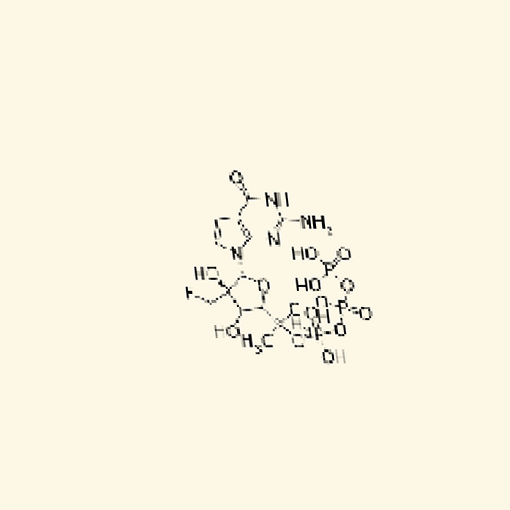 CC(C)(OP(=O)(O)OP(=O)(O)OP(=O)(O)O)[C@H]1O[C@@H](n2ccc3c(=O)[nH]c(N)nc32)[C@@](O)(CF)C1O